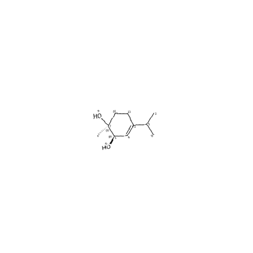 CC(C)C1=C[C@@H](O)[C@@](C)(O)CC1